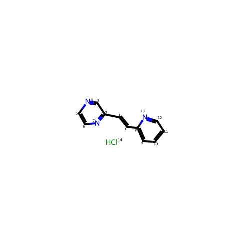 C(=Cc1cnccn1)c1ccccn1.Cl